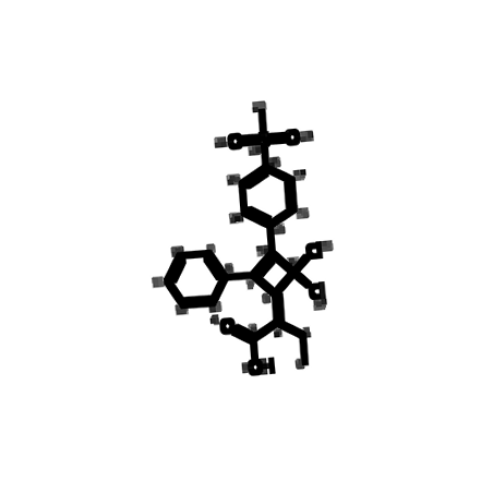 CCC(C(=O)O)=C1C(c2ccccc2)=C(c2ccc(S(C)(=O)=O)cc2)C1(Cl)Cl